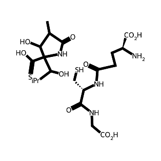 CC(C)C(O)C1(C(O)=S)NC(=O)C(C)C1O.N[C@@H](CCC(=O)N[C@@H](CS)C(=O)NCC(=O)O)C(=O)O